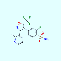 Cc1ncccc1-c1noc(C(F)(F)F)c1-c1ccc(S(N)(=O)=O)c(F)c1